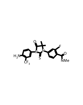 CNC(=O)c1ccc(N2C(=S)N(c3ccc(N)c(C(F)(F)F)c3)C(=O)C2(C)C)cc1F